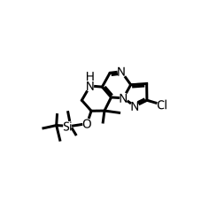 CC1(C)c2c(cnc3cc(Cl)nn23)NCC1O[Si](C)(C)C(C)(C)C